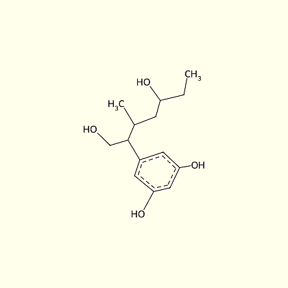 CCC(O)CC(C)C(CO)c1cc(O)cc(O)c1